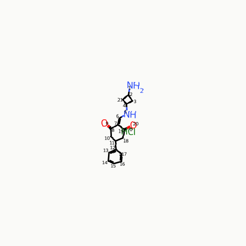 Cl.NC1CC(NC=C2C(=O)CC(c3ccccc3)CC2=O)C1